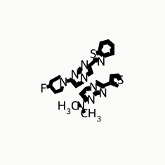 CN(C)c1ccn2cc(-c3ccsc3)nc2n1.FC1CCN(c2ccn3cc(-c4nc5ccccc5s4)nc3n2)CC1